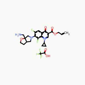 C=CCOC(=O)c1cn(C2CC2)c2c(F)c(N3CC4CCOC4(CN)C3)c(F)cc2c1=O.O=C(O)C(F)(F)F